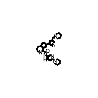 O=C(Nc1ccc(N2CCCCC2)nc1)C1=NCCCc2ccc(-c3cncc(CN4CCCCC4)c3)cc21